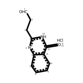 Cl.O=CCCc1nc2ccccc2c(=O)[nH]1